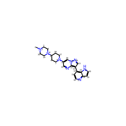 CN1CCN(C2CCN(c3cnc4c(-c5ccnc6cc[nH]c56)cnn4c3)CC2)CC1